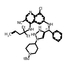 C=CCC(CC)(CC)Nc1c(C#N)cnc2c(Cl)cc(N[C@H](C3=CN(C4CCN(C(C)(C)C)CC4)NN3)c3ccccc3)cc12